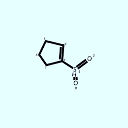 O=[SH](=O)C1=CCCC1